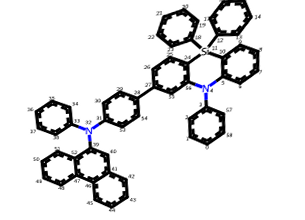 c1ccc(N2c3ccccc3[Si](c3ccccc3)(c3ccccc3)c3ccc(-c4ccc(N(c5ccccc5)c5cc6ccccc6c6ccccc56)cc4)cc32)cc1